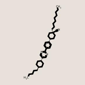 CCCCCCCCC[C@]1(C#N)CC[C@H](c2ccc(-c3ncc([C@H]4CC[C@H](CCCCC)CC4)cn3)cc2)CC1